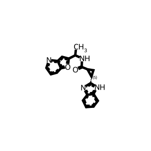 CC(NC(=O)C1C[C@@H]1c1nc2ccccc2[nH]1)c1cc2ncccc2o1